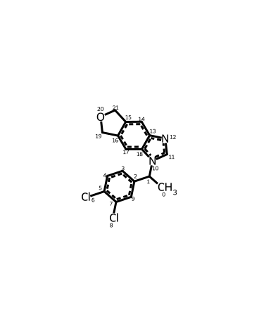 CC(c1ccc(Cl)c(Cl)c1)n1cnc2cc3c(cc21)COC3